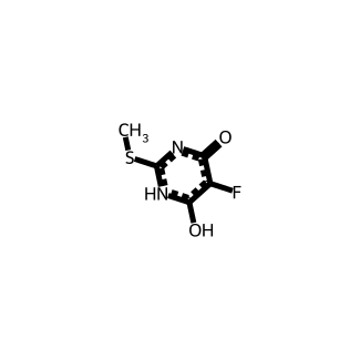 CSc1nc(=O)c(F)c(O)[nH]1